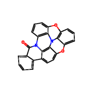 O=c1c2ccccc2c2ccc3oc4cccc5oc6cccc7c6-n(c54)c3c2n17